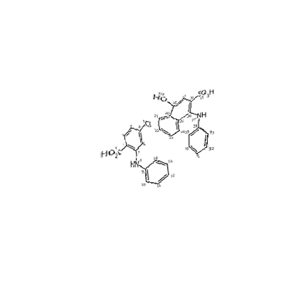 O=C(O)c1ccc(Cl)cc1Nc1ccccc1.O=S(=O)(O)c1cc(O)c2ccccc2c1Nc1ccccc1